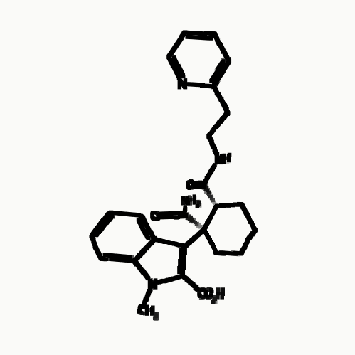 Cn1c(C(=O)O)c([C@]2(C(N)=O)CCCC[C@H]2C(=O)NCCc2ccccn2)c2ccccc21